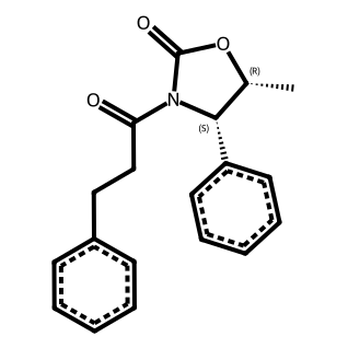 C[C@H]1OC(=O)N(C(=O)CCc2ccccc2)[C@H]1c1ccccc1